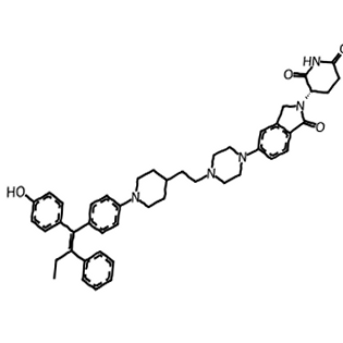 CCC(=C(c1ccc(O)cc1)c1ccc(N2CCC(CCN3CCN(c4ccc5c(c4)CN([C@H]4CCC(=O)NC4=O)C5=O)CC3)CC2)cc1)c1ccccc1